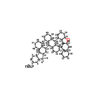 CCCCc1ccc2c(c1)C(C)(C)c1cc(-c3c4ccccc4c(-c4cccc5oc6cc7ccccc7cc6c45)c4ccccc34)c3ccccc3c1-2